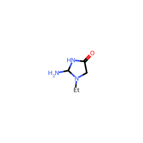 CCN1CC(=O)NC1N